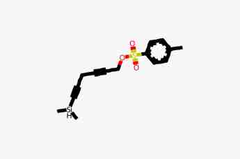 Cc1ccc(S(=O)(=O)OCC#CCC#C[SiH](C)C)cc1